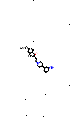 COc1ccc(C(=O)CCCN2CCC(c3cccc(N)c3)CC2)c(OC)c1